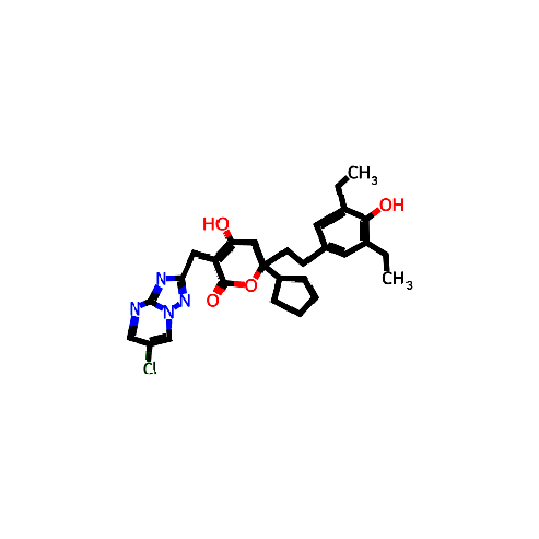 CCc1cc(CCC2(C3CCCC3)CC(O)=C(Cc3nc4ncc(Cl)cn4n3)C(=O)O2)cc(CC)c1O